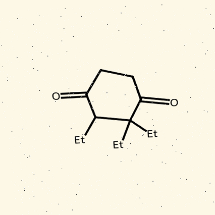 CCC1C(=O)CCC(=O)C1(CC)CC